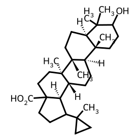 CC1(C2CCC3(C(=O)O)CC[C@]4(C)[C@H](CC[C@@H]5[C@@]6(C)CCC(O)C(C)(C)[C@@H]6CC[C@]54C)[C@@H]23)CC1